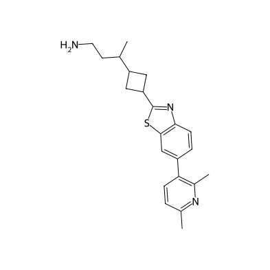 Cc1ccc(-c2ccc3nc(C4CC(C(C)CCN)C4)sc3c2)c(C)n1